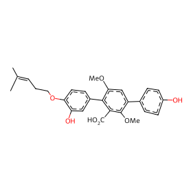 COc1cc(-c2ccc(O)cc2)c(OC)c(C(=O)O)c1-c1ccc(OCCC=C(C)C)c(O)c1